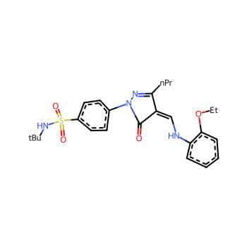 CCCC1=NN(c2ccc(S(=O)(=O)NC(C)(C)C)cc2)C(=O)C1=CNc1ccccc1OCC